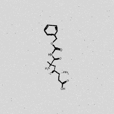 CC(N)(CC(=O)[C@H](N)CC(=O)O)C(=O)NC(=O)OCc1ccccc1